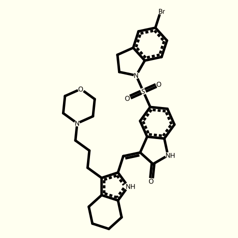 O=C1Nc2ccc(S(=O)(=O)N3CCc4cc(Br)ccc43)cc2/C1=C/c1[nH]c2c(c1CCCN1CCOCC1)CCCC2